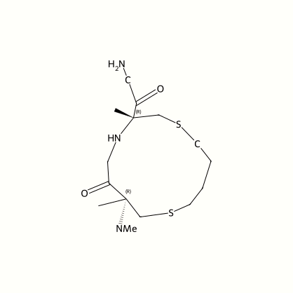 CN[C@@]1(C)CSCCCCSC[C@@](C)(C(=O)CN)NCC1=O